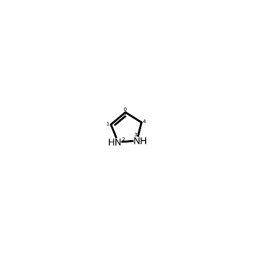 [C]1=[C]NNC1